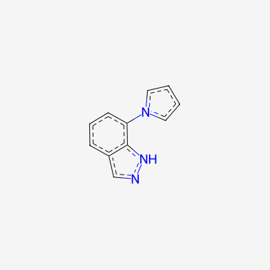 c1cc(-n2cccc2)c2[nH]ncc2c1